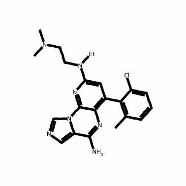 CCN(CCN(C)C)c1cc(-c2c(C)cccc2Cl)c2nc(N)c3cncn3c2n1